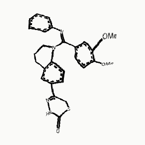 COc1ccc(/C(=N/c2ccccc2)N2CCCc3cc(C4=NNC(=O)SC4)ccc32)cc1OC